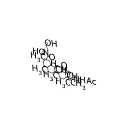 CC(=O)N[C@H]1CC[C@@]2(C)C(CC[C@]3(C)[C@@H]2C(=O)C=C2[C@@H]4C[C@@](C)(C(=O)N(O)CCO)CC[C@]4(C)CC[C@]23C)C1(C)C